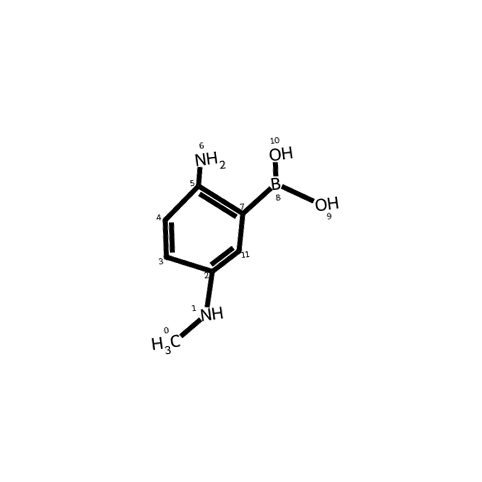 CNc1ccc(N)c(B(O)O)c1